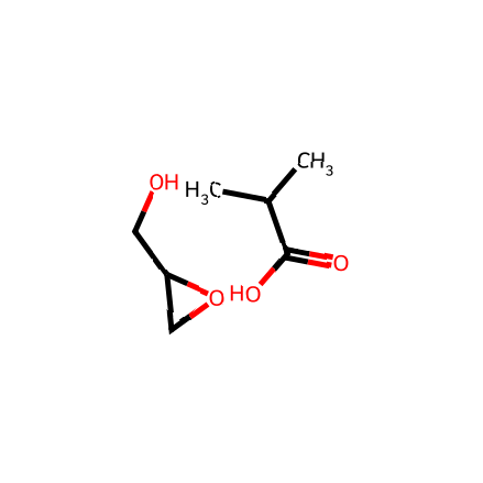 CC(C)C(=O)O.OCC1CO1